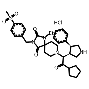 CCN1C(=O)N(Cc2ccc(S(C)(=O)=O)cc2)C(=O)C12CCN(C(C(=O)C1CCCC1)[C@@H]1CNC[C@@H]1c1ccccc1)CC2.Cl